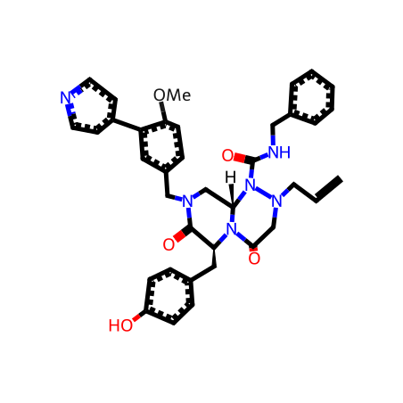 C=CCN1CC(=O)N2[C@@H](Cc3ccc(O)cc3)C(=O)N(Cc3ccc(OC)c(-c4ccncc4)c3)C[C@@H]2N1C(=O)NCc1ccccc1